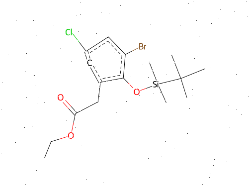 CCOC(=O)Cc1cc(Cl)cc(Br)c1O[Si](C)(C)C(C)(C)C